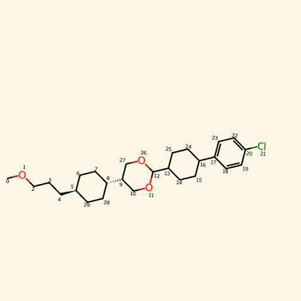 COCCC[C@H]1CC[C@H](C2COC(C3CCC(c4ccc(Cl)cc4)CC3)OC2)CC1